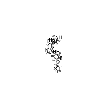 Fc1cc2ncnc(Nc3ccc(OC[C@@H]4CCCO4)c(F)c3F)c2nc1N1C[C@@H]2C[C@H]1CN2